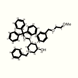 COCCOCc1ccc([C@H]2[C@H](COC(c3ccccc3)(c3ccccc3)c3ccccc3)CN(Cc3ccccc3)C[C@@H]2O)cc1